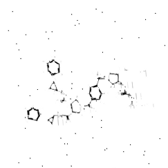 CCCCCCCO[C@H]1CN(C(=O)c2ccc(C(=O)N3C[C@@H](C(=O)N[C@H]4C[C@@H]4c4ccccc4)[C@H](C(=O)N[C@H]4C[C@@H]4c4ccccc4)C3)cc2)C[C@@H]1NC(=O)NCCCCC